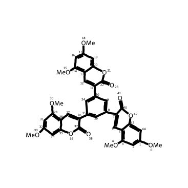 COc1cc(OC)c2cc(-c3cc(-c4cc5c(OC)cc(OC)cc5oc4=O)cc(-c4cc5c(OC)cc(OC)cc5oc4=O)c3)c(=O)oc2c1